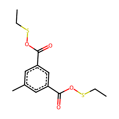 CCSOC(=O)c1cc(C)cc(C(=O)OSCC)c1